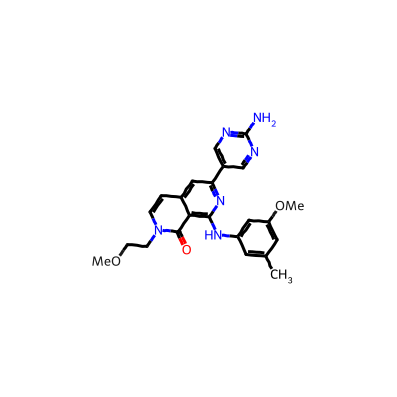 COCCn1ccc2cc(-c3cnc(N)nc3)nc(Nc3cc(C)cc(OC)c3)c2c1=O